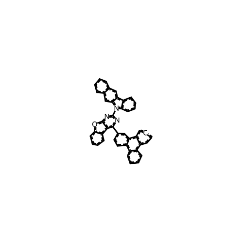 c1ccc2cc3c(cc2c1)c1ccccc1n3-c1nc(-c2ccc3c4ccccc4c4ccccc4c3c2)c2c(n1)oc1ccccc12